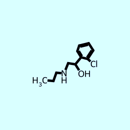 CCCNCC(O)c1ccccc1Cl